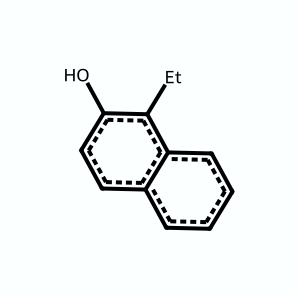 CCc1c(O)ccc2ccccc12